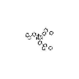 c1ccc(-c2cccc3cc(-c4nc(-c5cccc(-c6cccc7ccccc67)c5)nc(-c5cccc(-c6ccc(-c7ccccc7)c7ccccc67)c5)n4)ccc23)cc1